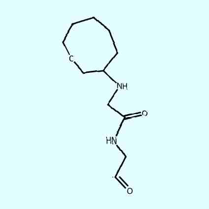 O=[C]CNC(=O)CNC1CCCCCCC1